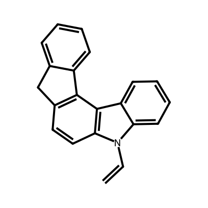 C=Cn1c2ccccc2c2c3c(ccc21)Cc1ccccc1-3